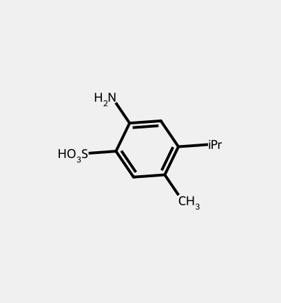 Cc1cc(S(=O)(=O)O)c(N)cc1C(C)C